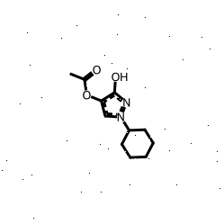 CC(=O)Oc1cn(C2CCCCC2)nc1O